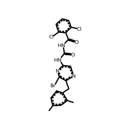 Cc1ccc(Cc2ncc(NC(=O)NC(=O)c3c(Cl)cccc3Cl)nc2Br)c(C)c1